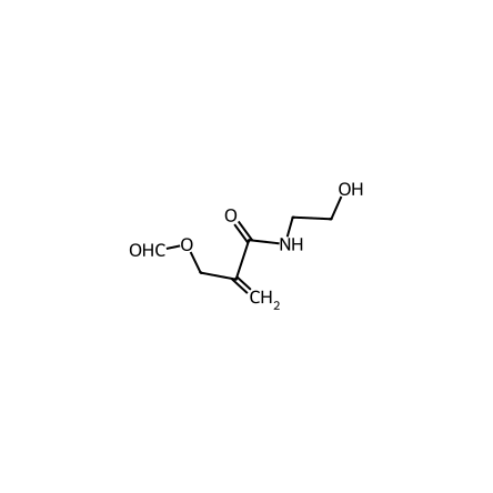 C=C(COC=O)C(=O)NCCO